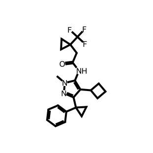 Cn1nc(C2(c3ccccc3)CC2)c(C2CCC2)c1NC(=O)CC1(C(F)(F)F)CC1